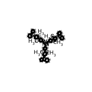 Cc1cc(-n2c3ccccc3c3ccccc32)cc(C)c1-c1ccc(-c2nc(-c3ccc(-c4c(C)cc(-n5c6ccccc6c6ccccc65)cc4C)cc3)nc(-c3ccc(-c4c(C)cc(-n5c6ccccc6c6ccccc65)cc4C)cc3)n2)cc1